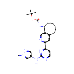 Cn1cc(Nc2nccc(-c3cc4c(cn3)C(NC(=O)OC(C)(C)C)CCCC4)n2)cn1